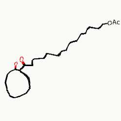 CC(=O)OCCCCCCCCCCCCCCC(=O)C1CCCCCCCCCCC1=O